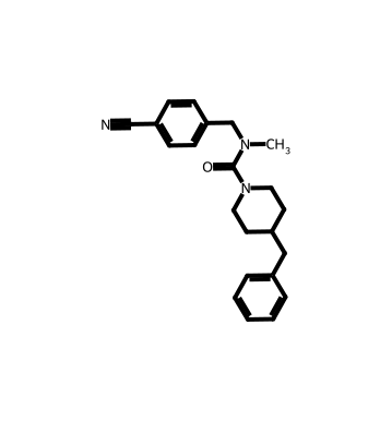 CN(Cc1ccc(C#N)cc1)C(=O)N1CCC(Cc2ccccc2)CC1